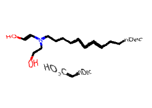 CCCCCCCCCCCC(=O)O.CCCCCCCCCCCCCCCCCCCCN(CCO)CCO